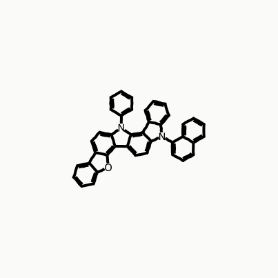 c1ccc(-n2c3ccc4c5ccccc5oc4c3c3ccc4c(c5ccccc5n4-c4cccc5ccccc45)c32)cc1